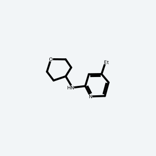 CCc1ccnc(NC2CCOCC2)c1